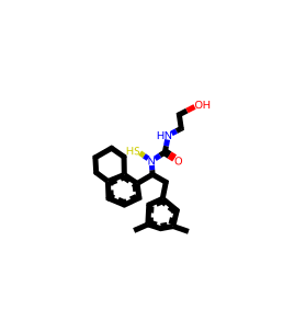 Cc1cc(C)cc(CC(c2cccc3c2CCCC3)N(S)C(=O)NCCO)c1